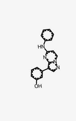 Oc1cccc(-c2cnn3ccc(Nc4ccccc4)nc23)c1